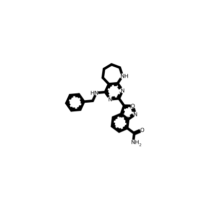 NC(=O)c1cccc2c(-c3nc4c(c(NCc5ccccc5)n3)CCCCN4)onc12